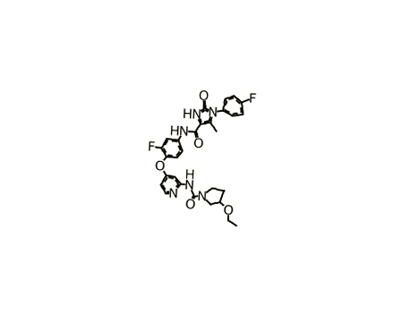 CCOC1CCN(C(=O)Nc2cc(Oc3ccc(NC(=O)c4[nH]c(=O)n(-c5ccc(F)cc5)c4C)cc3F)ccn2)C1